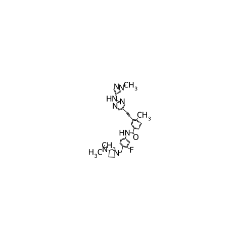 Cc1ccc(C(=O)Nc2ccc(CN3CC[C@H](N(C)C)C3)c(F)c2)cc1C#Cc1cnc(Nc2cnn(C)c2)nc1